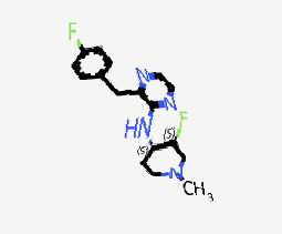 CN1CC[C@H](Nc2nccnc2Cc2ccc(F)cc2)[C@@H](F)C1